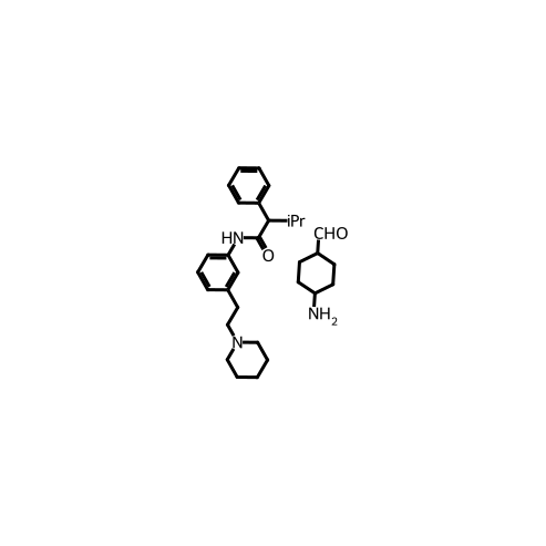 CC(C)C(C(=O)Nc1cccc(CCN2CCCCC2)c1)c1ccccc1.NC1CCC(C=O)CC1